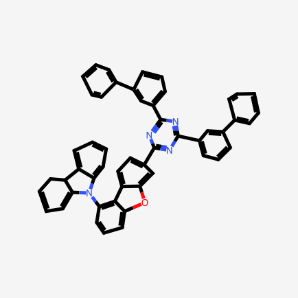 C1=CCC2C(=C1)N(c1cccc3oc4cc(-c5nc(-c6cccc(-c7ccccc7)c6)nc(-c6cccc(-c7ccccc7)c6)n5)ccc4c13)c1ccccc12